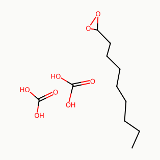 CCCCCCCCC1OO1.O=C(O)O.O=C(O)O